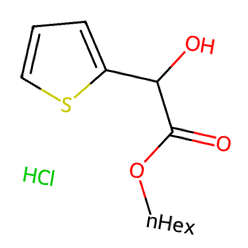 CCCCCCOC(=O)C(O)c1cccs1.Cl